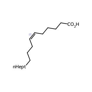 CCCCCCCCCC/C=C\CCCCC(=O)O